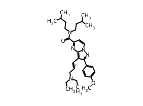 CCN(CC)C/C=C/c1c(-c2ccc(OC)cc2)nn2ccc(C(=O)N(CCC(C)C)CCC(C)C)nc12